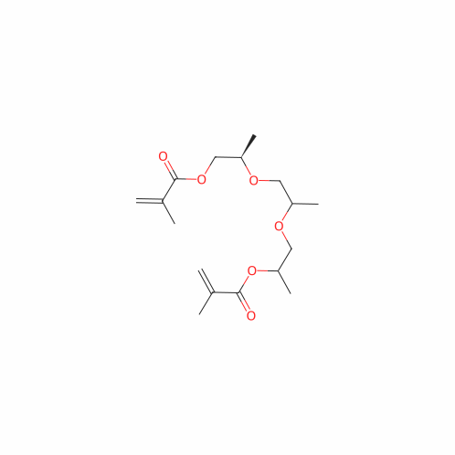 C=C(C)C(=O)OC[C@@H](C)OCC(C)OCC(C)OC(=O)C(=C)C